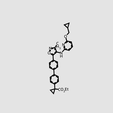 CCOC(=O)C1(c2ccc(-c3ccc(-c4onc(C)c4Nc4cccc(OCC5CC5)n4)cc3)cc2)CC1